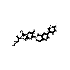 COCC(C)n1nc2nc(N3CCc4ncc(-c5ccc(F)nc5)cc4C3)c(C)cn2c1=O